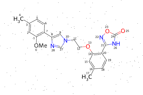 COc1cc(C)ccc1-c1cn(CCOc2cc(C)ccc2-c2noc(=O)[nH]2)cn1